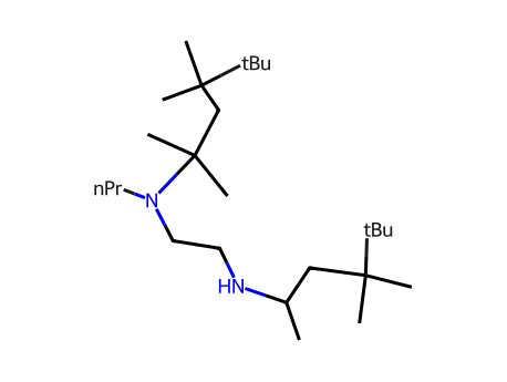 CCCN(CCNC(C)CC(C)(C)C(C)(C)C)C(C)(C)CC(C)(C)C(C)(C)C